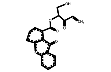 C=CC(=O)C(CO)OC(=O)c1cccc2sc3ccccc3c(=O)c12